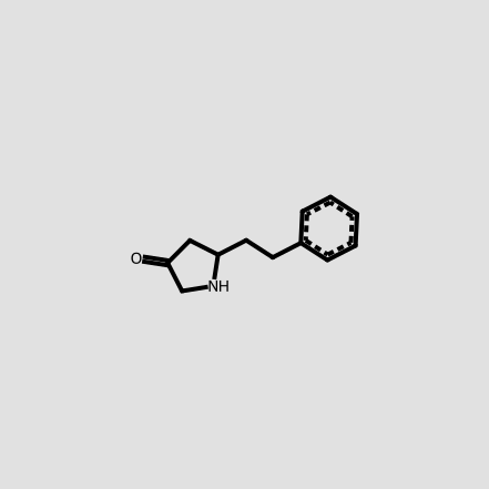 O=C1CNC(CCc2ccccc2)C1